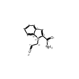 NC(=O)c1cc2ccccc2n1CC=O